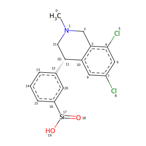 CN1Cc2c(Cl)cc(Cl)cc2[C@H](c2cccc([Si](=O)O)c2)C1